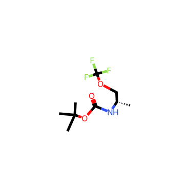 C[C@@H](COC(F)(F)F)NC(=O)OC(C)(C)C